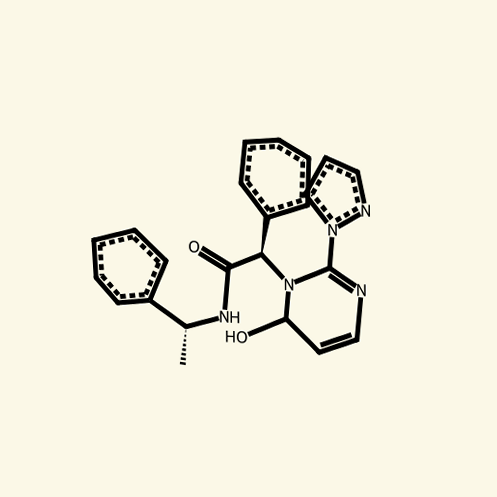 C[C@@H](NC(=O)[C@@H](c1ccccc1)N1C(n2cccn2)=NC=CC1O)c1ccccc1